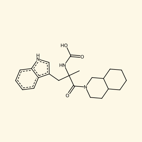 CC(Cc1c[nH]c2ccccc12)(NC(=O)O)C(=O)N1CCC2CCCCC2C1